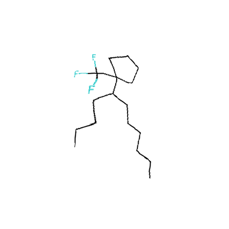 CCCCCCC(CCCC)C1(C(F)(F)F)CCCC1